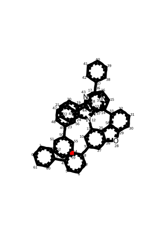 c1ccc(-c2cccc(-c3cc(-n4c5ccccc5c5ccccc54)c4c(c3)oc3cccc(-c5nc(-c6ccccc6)nc(-c6cccc(-c7ccccc7)c6)n5)c34)c2)cc1